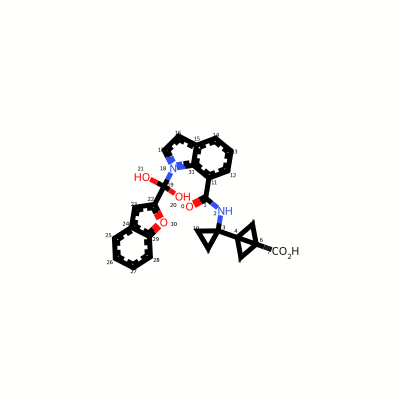 O=C(NC1(C23CC2(C(=O)O)C3)CC1)c1cccc2ccn(C(O)(O)c3cc4ccccc4o3)c12